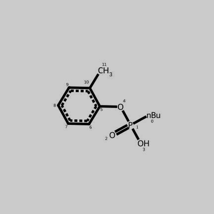 CCCCP(=O)(O)Oc1ccccc1C